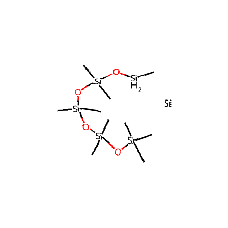 C[SiH2]O[Si](C)(C)O[Si](C)(C)O[Si](C)(C)O[Si](C)(C)C.[Si]